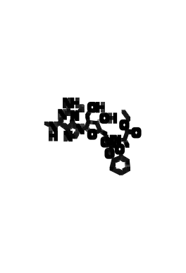 CCOC(=O)[C@@H](C)NP(=O)(OC[C@H]1O[C@@H](n2cnc3c(NC)nc(N)nc32)[C@@H](CO)[C@@H]1O)Oc1ccccc1